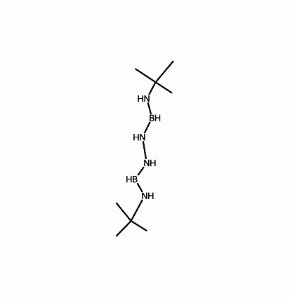 CC(C)(C)NBNNBNC(C)(C)C